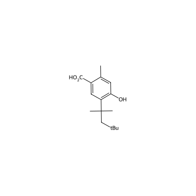 Cc1cc(O)c(C(C)(C)CC(C)(C)C)cc1C(=O)O